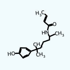 C/C=C/C(=O)NC(C)CCCC(C)(C)c1ccc(O)cc1